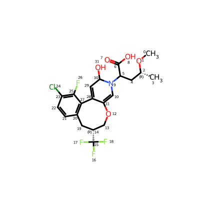 CO[C@H](C)CC(C(=O)O)N1C=C2OC[C@H](C(F)(F)F)Cc3ccc(Cl)c(F)c3C2=CC1O